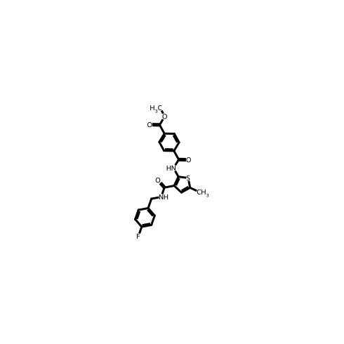 COC(=O)c1ccc(C(=O)Nc2sc(C)cc2C(=O)NCc2ccc(F)cc2)cc1